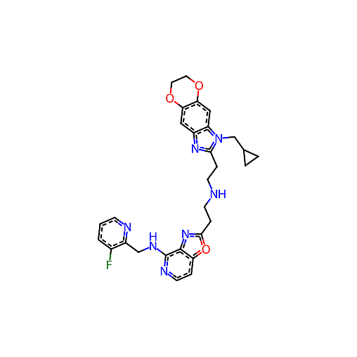 Fc1cccnc1CNc1nccc2oc(CCNCCc3nc4cc5c(cc4n3CC3CC3)OCCO5)nc12